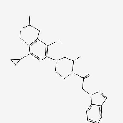 CC1Cc2c(C#N)c(N3CCN(C(=O)Cn4ncc5ccccc54)[C@H](C(C)C)C3)nc(C3CC3)c2CO1